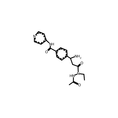 CCN(NC(C)=O)C(=O)CC(N)c1ccc(C(=O)Nc2ccncc2)cc1